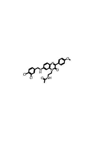 COc1ccc(-c2nc3ccc(NCc4ccc(Cl)c(Cl)c4)cc3n(CCNC(C)=O)c2=O)cc1